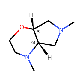 CN1C[C@H]2OCCN(C)[C@H]2C1